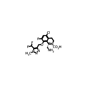 Cn1nnc(COc2c(F)cc(Cl)c3c2[C@@H](CN)N(C(=O)O)CC3)c1C(F)F